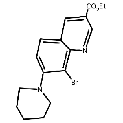 CCOC(=O)c1cnc2c(Br)c(N3CCCCC3)ccc2c1